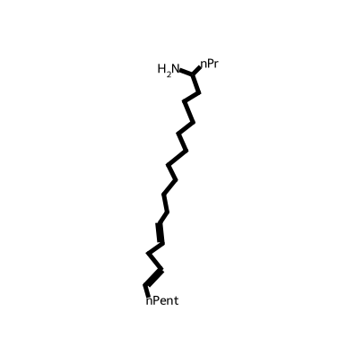 CCCCCC=CCC=CCCCCCCCCCC(N)CCC